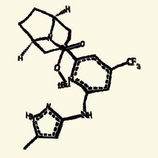 Cc1cc(Nc2cc(C(F)(F)F)cc(N3C[C@H]4CC[C@@H](C3)N4C(=O)OC(C)(C)C)n2)n[nH]1